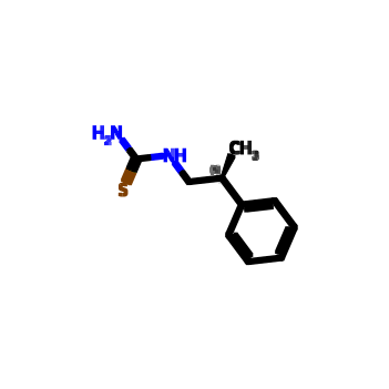 C[C@H](CNC(N)=S)c1ccccc1